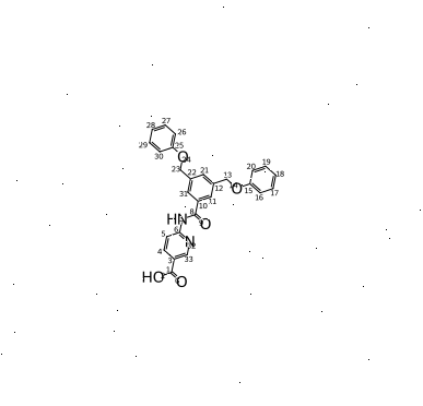 O=C(O)c1ccc(NC(=O)c2cc(COc3ccccc3)cc(COc3ccccc3)c2)nc1